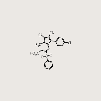 N#Cc1c(Cl)c(C(F)(F)F)n(CN(CC(=O)O)S(=O)(=O)c2ccccc2)c1-c1ccc(Cl)cc1